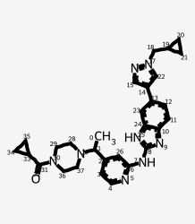 CC(c1ccnc(Nc2nc3ccc(-c4cnn(CC5CC5)c4)cc3[nH]2)c1)N1CCN(C(=O)C2CC2)CC1